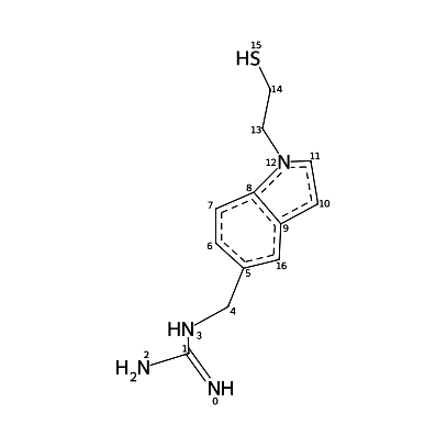 N=C(N)NCc1ccc2c(ccn2CCS)c1